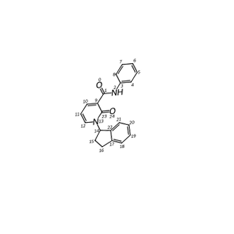 O=C(Nc1ccccc1)c1cccn(C2CCc3ccccc32)c1=O